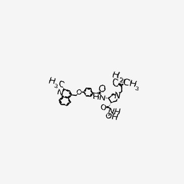 C=C(C)CN1C[C@H](C(=O)NO)[C@H](NC(=O)c2ccc(OCc3cc(C)nc4ccccc34)cc2)C1